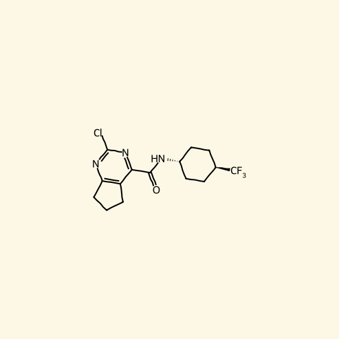 O=C(N[C@H]1CC[C@H](C(F)(F)F)CC1)c1nc(Cl)nc2c1CCC2